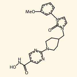 COc1cccc(-n2ccn(CC3CCN(c4ncc(C(=O)NO)cn4)CC3)c2=O)c1